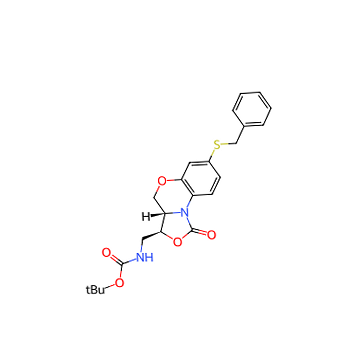 CC(C)(C)OC(=O)NC[C@@H]1OC(=O)N2c3ccc(SCc4ccccc4)cc3OC[C@@H]12